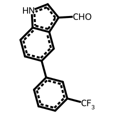 O=Cc1c[nH]c2ccc(-c3cccc(C(F)(F)F)c3)cc12